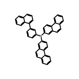 c1cc(-c2cccc3ccccc23)cc(N(c2ccc3c(ccc4ccccc43)c2)c2ccc3c(ccc4ccccc43)c2)c1